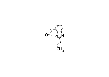 CCCc1nc2cccc3c2n1CC(=O)N3